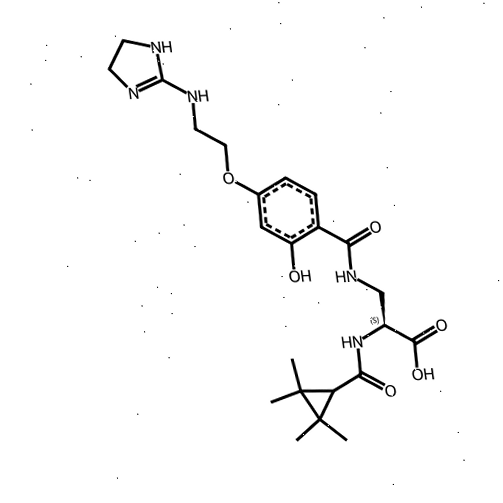 CC1(C)C(C(=O)N[C@@H](CNC(=O)c2ccc(OCCNC3=NCCN3)cc2O)C(=O)O)C1(C)C